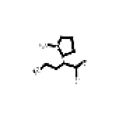 CCCCC(Br)Br.CN1CCCC1